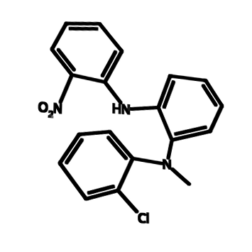 CN(c1ccccc1Cl)c1ccccc1Nc1ccccc1[N+](=O)[O-]